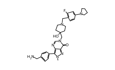 Cn1nc2c(=O)n(CC3(O)CCN(Cc4ccc(N5CCCC5)cc4F)CC3)cnc2c1-c1ccc(CN)cc1